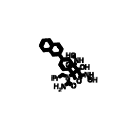 CC(C)CN(C(N)=O)C(C)(c1ccc(-c2ccc3ccccc3c2)cc1)C(O)(C(=O)NO)C(=O)NO